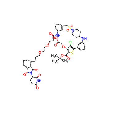 CC(C)(C)OC(=O)c1sc(-c2cccc(NC3CCN(S(=O)(=O)Cc4cccc(NC(=O)CCOCCOCCCc5cccc6c5C(=O)N(C5CCC(=O)NC5=O)C6=O)c4)CC3)c2)c(Cl)c1OCC(=O)O